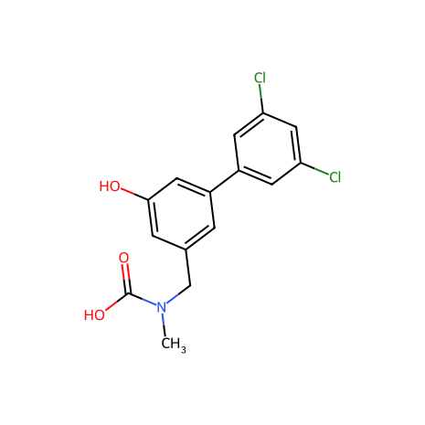 CN(Cc1cc(O)cc(-c2cc(Cl)cc(Cl)c2)c1)C(=O)O